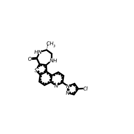 C[C@@H]1CNc2c(sc3ccc4nc(-n5cc(Cl)cn5)ccc4c23)C(=O)N1